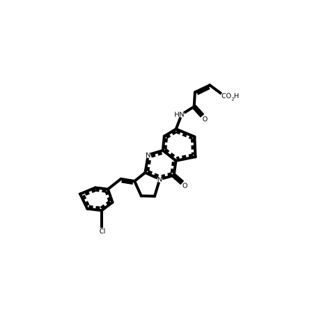 O=C(O)/C=C\C(=O)Nc1ccc2c(=O)n3c(nc2c1)/C(=C/c1cccc(Cl)c1)CC3